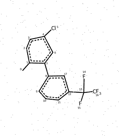 Cc1c[c]c(Cl)cc1-c1cccc(C(F)(F)C(F)(F)F)c1